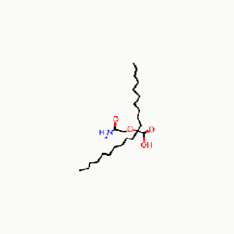 CCCCCCCCCCC(CCCCCCCCCC)(OCC(N)=O)C(=O)O